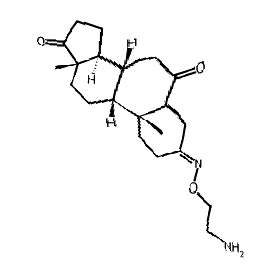 C[C@]12CC/C(=N\OCCN)CC1C(=O)C[C@@H]1[C@H]2CC[C@]2(C)C(=O)CC[C@@H]12